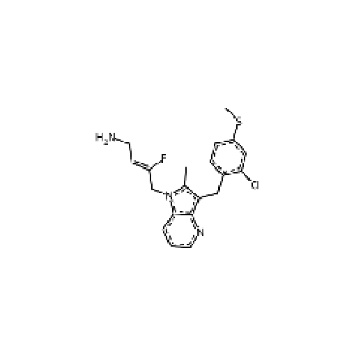 CSc1ccc(Cc2c(C)n(C/C(F)=C/CN)c3cccnc23)c(Cl)c1